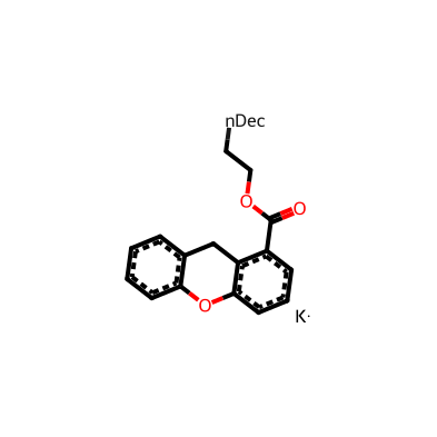 CCCCCCCCCCCCOC(=O)c1cccc2c1Cc1ccccc1O2.[K]